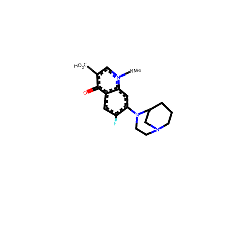 CNn1cc(C(=O)O)c(=O)c2cc(F)c(N3CCN4CCCC3C4)cc21